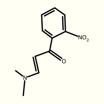 CN(C)/C=C/C(=O)c1ccccc1[N+](=O)[O-]